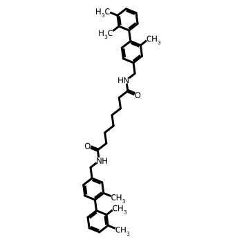 Cc1cc(CNC(=O)CCCCCCC(=O)NCc2ccc(-c3cccc(C)c3C)c(C)c2)ccc1-c1cccc(C)c1C